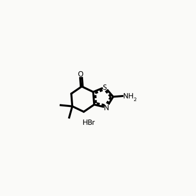 Br.CC1(C)CC(=O)c2sc(N)nc2C1